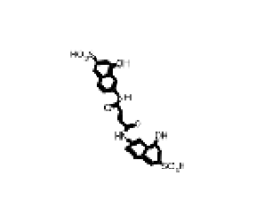 O=C(/C=C/C(=O)Nc1ccc2cc(S(=O)(=O)O)cc(O)c2c1)Nc1ccc2cc(S(=O)(=O)O)cc(O)c2c1